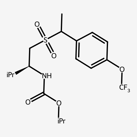 CC(C)OC(=O)N[C@H](CS(=O)(=O)C(C)c1ccc(OC(F)(F)F)cc1)C(C)C